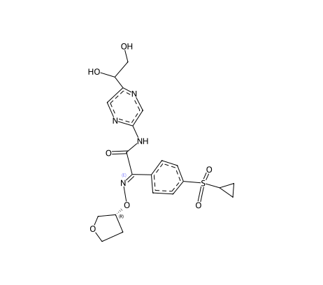 O=C(Nc1cnc(C(O)CO)cn1)/C(=N/O[C@@H]1CCOC1)c1ccc(S(=O)(=O)C2CC2)cc1